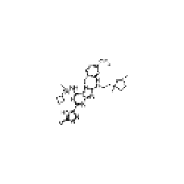 C[C@@H](Nc1nc(-c2noc(=O)[nH]2)nc2nc(NCCC3(C)CCN(C)C3)n(Cc3ccc(C(F)(F)F)cc3)c12)C1CCC1